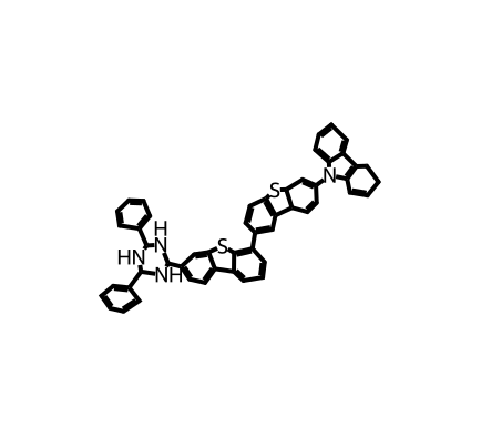 C1=Cc2c(c3ccccc3n2C2=CC3Sc4ccc(-c5cccc6c5sc5cc(C7NC(c8ccccc8)NC(c8ccccc8)N7)ccc56)cc4C3C=C2)CC1